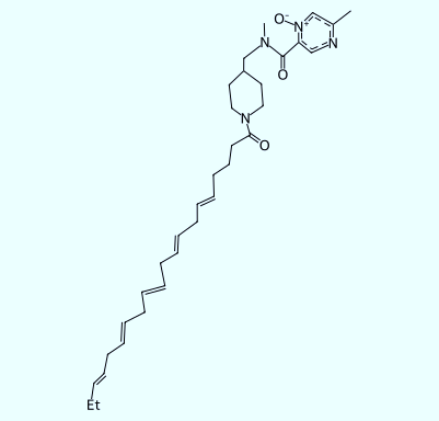 CCC=CCC=CCC=CCC=CCC=CCCCC(=O)N1CCC(CN(C)C(=O)c2cnc(C)c[n+]2[O-])CC1